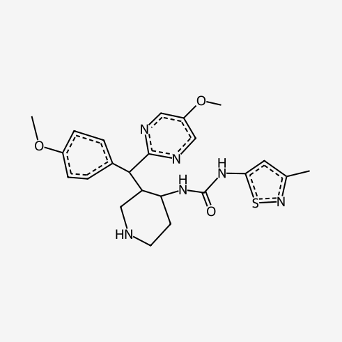 COc1ccc(C(c2ncc(OC)cn2)C2CNCCC2NC(=O)Nc2cc(C)ns2)cc1